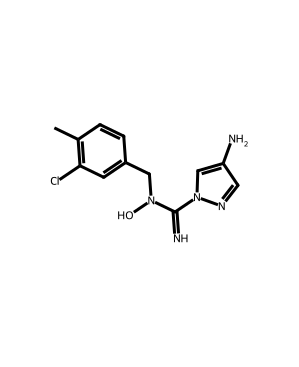 Cc1ccc(CN(O)C(=N)n2cc(N)cn2)cc1Cl